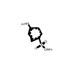 COS(=O)(=O)c1ccc(NC(C)=O)cc1